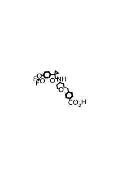 O=C(O)c1ccc(C[C@@H]2C[C@@H](NC(=O)C3(c4ccc5c(c4)OC(F)(F)O5)CC3)CCO2)cc1